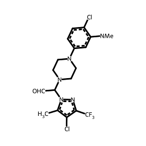 CNc1cc(N2CCN(C(C=O)n3nc(C(F)(F)F)c(Cl)c3C)CC2)ccc1Cl